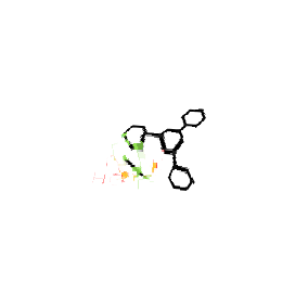 O=S(=O)(O)C(F)(F)C(F)(F)C(F)(F)SOc1c(C2CCCCC2)cc(C2CCCCC2)cc1C1CCCCC1